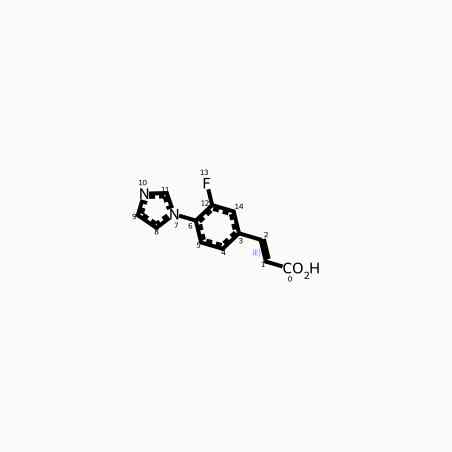 O=C(O)/C=C/c1ccc(-n2ccnc2)c(F)c1